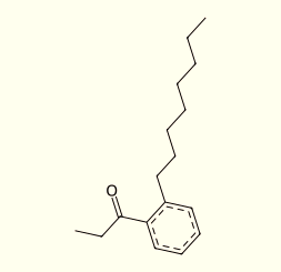 CCCCCCCCc1ccccc1C(=O)CC